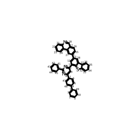 c1ccc(-c2ccc(-c3cc(-c4cc(-c5ccc6cnc7ccccc7c6c5)cc5c4sc4ccccc45)nc(-c4ccccc4)n3)cc2)cc1